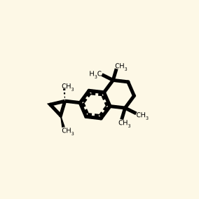 C[C@H]1C[C@@]1(C)c1ccc2c(c1)C(C)(C)CCC2(C)C